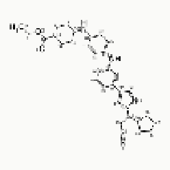 CCOC(=O)N1CCC(Nc2ccc(Nc3nccc(-c4cnn(C(CC#N)C5CCCC5)c4)n3)cc2)CC1